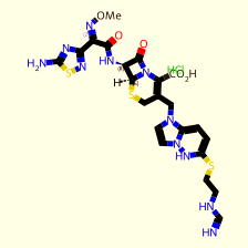 CO/N=C(\C(=O)N[C@@H]1C(=O)N2C(C(=O)O)=C(CN3C=CN4NC(SCCNC=N)=CC=C34)CS[C@@H]12)c1nsc(N)n1.Cl